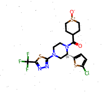 O=C(C1CC[S+]([O-])CC1)N1CCN(c2nnc(C(F)(F)F)s2)C[C@H]1c1ccc(Cl)s1